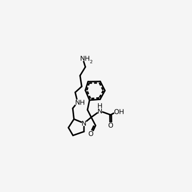 NCCCCNCC1CCCN1C(C=O)(Cc1ccccc1)NC(=O)O